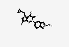 Cn1cc2cc(-n3nc4c(F)cn(CC5CC5)c4c(Cl)c3=O)ccc2n1